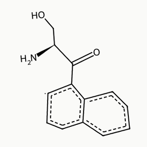 N[C@@H](CO)C(=O)c1[c]ccc2ccccc12